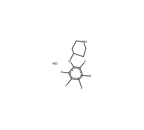 Cl.Fc1c(F)c(F)c(OC2CCNCC2)c(F)c1F